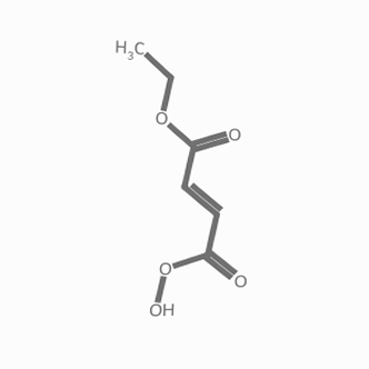 CCOC(=O)C=CC(=O)OO